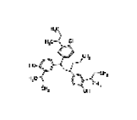 CCCC(CC(c1ccc(O)c(C(C)CC)c1)c1ccc(O)c(C(C)CC)c1)c1ccc(O)c(C(C)CC)c1